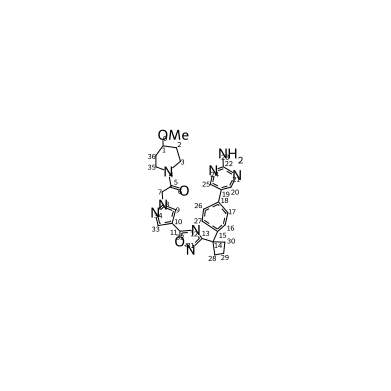 COC1CCN(C(=O)Cn2cc(-c3nc(C4(c5ccc(-c6cnc(N)nc6)cc5)CCC4)no3)cn2)CC1